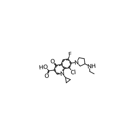 CCNC1CCN(c2c(F)cc3c(=O)c(C(=O)O)cn(C4CC4)c3c2Cl)C1